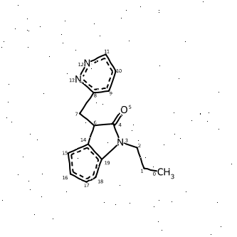 CCCN1C(=O)C(Cc2cccnn2)c2ccccc21